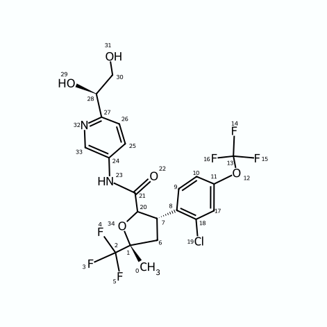 C[C@]1(C(F)(F)F)C[C@@H](c2ccc(OC(F)(F)F)cc2Cl)C(C(=O)Nc2ccc([C@@H](O)CO)nc2)O1